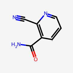 N#Cc1ncc[c]c1C(N)=O